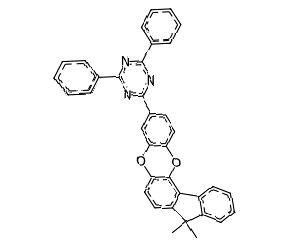 CC1(C)c2ccccc2-c2c1ccc1c2Oc2ccc(-c3nc(-c4ccccc4)nc(-c4ccccc4)n3)cc2O1